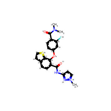 CN(C)C(=O)c1ccc(Oc2c(C(=O)Nc3ccn(C)n3)ccc3ccsc23)cc1F